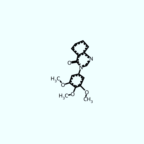 COc1cc(-n2cnc3ccccc3c2=O)cc(OC)c1OC